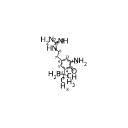 BC(C)(C)c1cc(CCNC(=N)N)cc(N)c1O